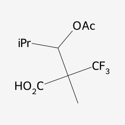 CC(=O)OC(C(C)C)C(C)(C(=O)O)C(F)(F)F